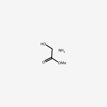 COC(=O)CO.N